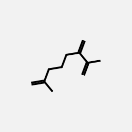 C=C(C)CCCC(=C)C(=C)C